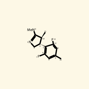 CNC1=NC[C@@H](c2c(F)cc(C)cc2F)[C@@H]1C